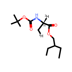 [2H]C[C@]([2H])(NC(=O)OC(C)(C)C)C(=O)OCC(CC)CC